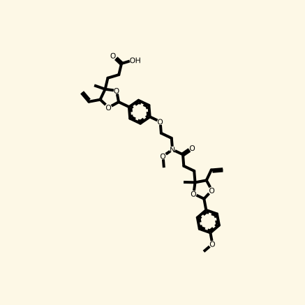 C=CC1OC(c2ccc(OCCN(OC)C(=O)CCC3(C)OC(c4ccc(OC)cc4)OC3C=C)cc2)OC1(C)CCC(=O)O